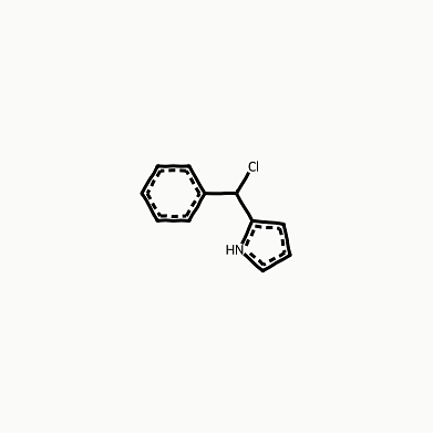 Cl[C](c1ccccc1)c1ccc[nH]1